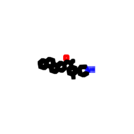 C1=CC=CNC=C1.Cc1ccc(C(C)C(=O)C2C=c3c(ccc4c3=CCc3ccccc3-4)CC2)cc1